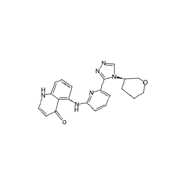 O=c1cc[nH]c2cccc(Nc3cccc(-c4nncn4[C@@H]4CCCOC4)n3)c12